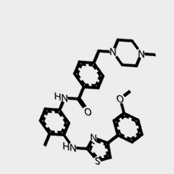 COc1cccc(-c2csc(Nc3cc(NC(=O)c4ccc(CN5CCN(C)CC5)cc4)ccc3C)n2)c1